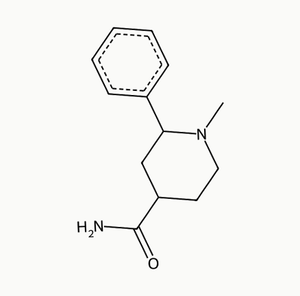 CN1CCC(C(N)=O)CC1c1ccccc1